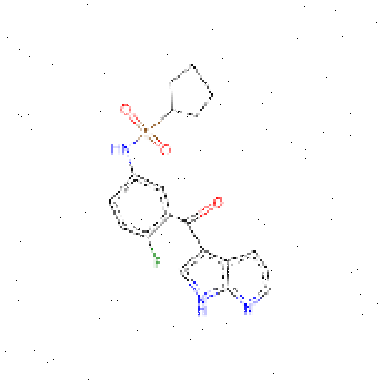 O=C(c1cc(NS(=O)(=O)C2CCCC2)ccc1F)c1c[nH]c2ncccc12